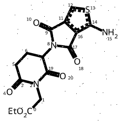 CCOC(=O)CN1C(=O)CCC(N2C(=O)c3csc(N)c3C2=O)C1=O